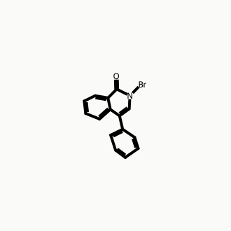 O=c1c2ccccc2c(-c2ccccc2)cn1Br